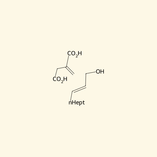 C=C(CC(=O)O)C(=O)O.CCCCCCCC=CCO